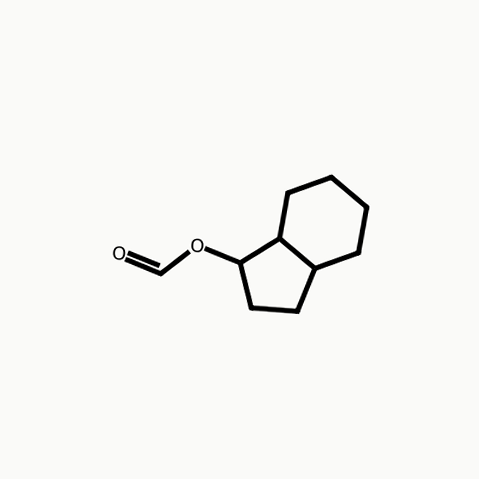 O=COC1CCC2CCCCC21